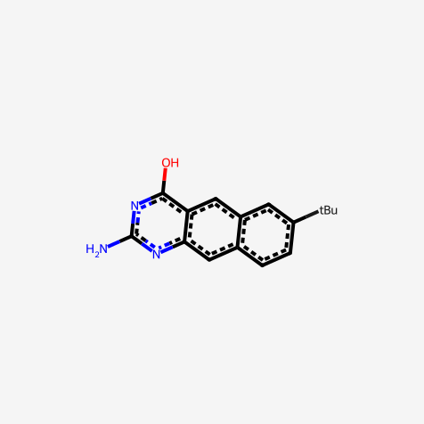 CC(C)(C)c1ccc2cc3nc(N)nc(O)c3cc2c1